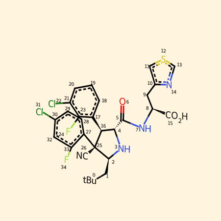 CC(C)(C)C[C@@H]1N[C@@H](C(=O)N[C@@H](Cc2cscn2)C(=O)O)[C@H](c2cccc(Cl)c2F)[C@@]1(C#N)c1ccc(Cl)cc1F